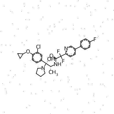 C[C@@H](NC(=O)C(F)(F)c1ccc(-c2ccc(F)cc2)cn1)[C@](O)(c1ccc(OC2CC2)c(Cl)c1)N1CCCC1